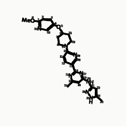 COc1ccc(OC2CCN(c3ccc(-c4nc(C)cc(Nc5cc(C)[nH]n5)n4)cn3)CC2)cn1